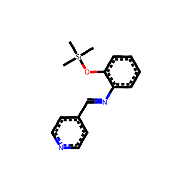 C[Si](C)(C)Oc1ccccc1N=Cc1ccncc1